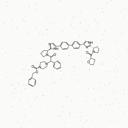 O=C(OCc1ccccc1)N1CCN(C(C(=O)N2CCC[C@H]2c2ncc(-c3ccc(-c4ccc(-c5c[nH]c([C@@H]6CCCN6C(=O)[C@H]6CCCO6)n5)cc4)cc3)[nH]2)c2ccccc2)CC1